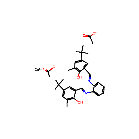 CC(=O)[O-].CC(=O)[O-].Cc1cc(C(C)(C)C)cc(C=Nc2ccccc2N=Cc2cc(C(C)(C)C)cc(C)c2O)c1O.[Co+2]